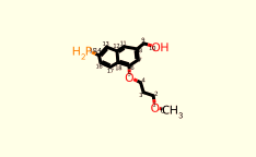 COCCCOc1cc(CO)cc2cc(P)ccc12